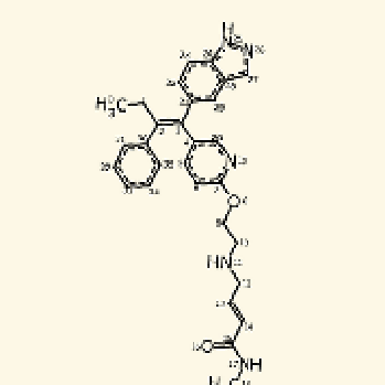 CC/C(=C(/c1ccc(OCCNC/C=C/C(=O)NC)nc1)c1ccc2[nH]ncc2c1)c1ccccc1